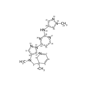 CN(CC1(C)C=CC=NC1)c1cnn(-c2ccnc(Nc3cnn(C)c3)n2)c1